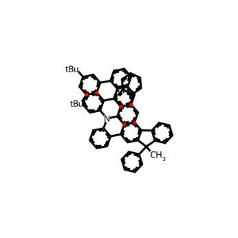 CC(C)(C)c1cc(-c2cccc3cccc(-c4ccccc4N(c4ccccc4-c4ccc5c(c4)C(C)(c4ccccc4)c4ccccc4-5)c4cccc5c4sc4ccccc45)c23)cc(C(C)(C)C)c1